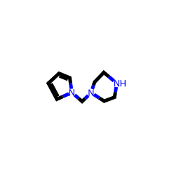 c1ccn(CN2CCNCC2)c1